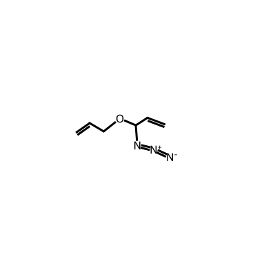 C=CCOC(C=C)N=[N+]=[N-]